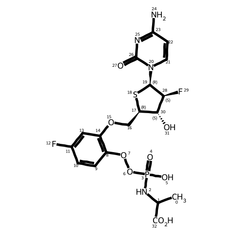 CC(NP(=O)(O)OOc1ccc(F)cc1OC[C@H]1S[C@@H](n2ccc(N)nc2=O)[C@@H](F)[C@@H]1O)C(=O)O